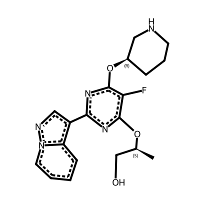 C[C@@H](CO)Oc1nc(-c2cnn3ccccc23)nc(O[C@@H]2CCCNC2)c1F